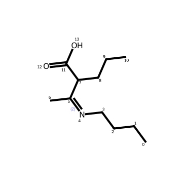 CCCC/N=C(/C)C(CCC)C(=O)O